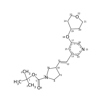 CC(C)(C)OC(=O)N1CCC(C=Cc2cncc(OC3CCOCC3)c2)C1